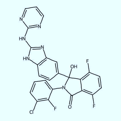 O=C1c2c(F)ccc(F)c2C(O)(c2ccc3[nH]c(Nc4ncccn4)nc3c2)N1c1cccc(Cl)c1F